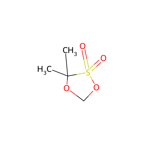 CC1(C)OCOS1(=O)=O